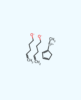 C=CCCC[O-].C=CCCC[O-].[CH3][Ti+2][C]1=CC=CC1